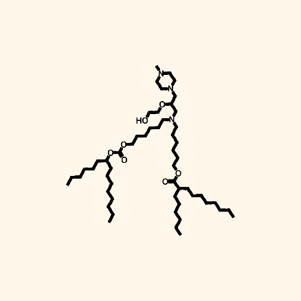 CCCCCCCCC(CCCCCC)OC(=O)OCCCCCCN(CCCCCCOC(=O)C(CCCCCC)CCCCCCCC)CC(CN1CCN(C)CC1)OCCO